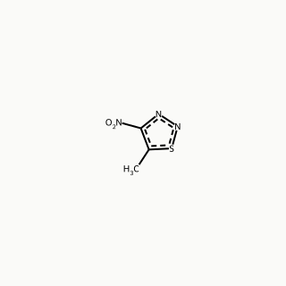 Cc1snnc1[N+](=O)[O-]